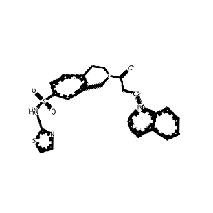 O=C(COn1ccc2ccccc21)N1CCc2ccc(S(=O)(=O)Nc3nccs3)cc2C1